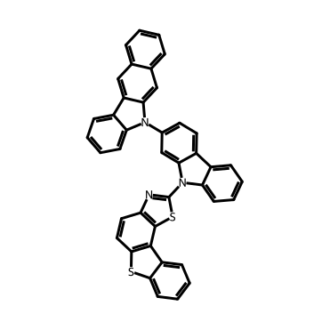 c1ccc2cc3c(cc2c1)c1ccccc1n3-c1ccc2c3ccccc3n(-c3nc4ccc5sc6ccccc6c5c4s3)c2c1